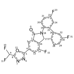 O=C1c2cc(-c3nnc(C(F)F)o3)cc(F)c2CN1c1ccc(F)cc1-c1cccc(F)c1